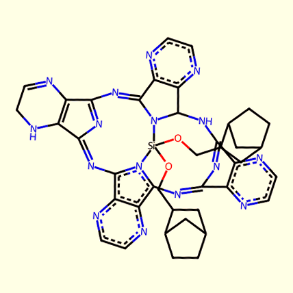 C1=NC2=C(NC1)/C1=N/c3c4nccnc4c4n3[Si](OCC3CC5CCC3C5)(OCC3CC5CCC3C5)N3/C(=N\C2=N1)c1nccnc1C3NC1=N/C(=N\4)c2nccnc21